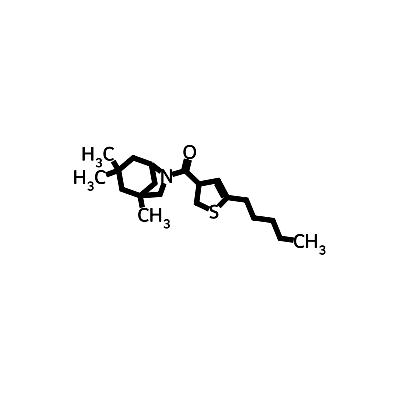 CCCCCC1=CC(C(=O)N2CC3(C)CC2CC(C)(C)C3)CS1